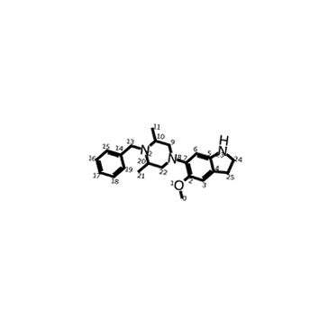 COc1cc2c(cc1N1CC(C)N(Cc3ccccc3)C(C)C1)NCC2